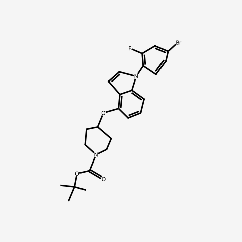 CC(C)(C)OC(=O)N1CCC(Oc2cccc3c2ccn3-c2ccc(Br)cc2F)CC1